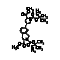 COC(=O)C1C=C(c2ccc3c(c2)CN(C(=O)OC(C)(C)C)C(C(=O)OC)C3)CN1C(=O)OC(C)(C)C